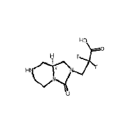 O=C1N(CC(F)(F)C(=O)O)C[C@@H]2CNCCN12